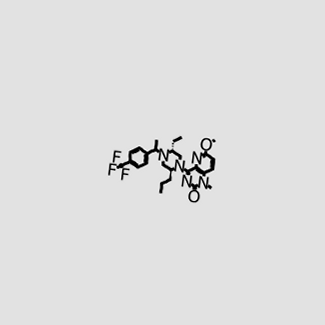 CCC[C@H]1CN(C(C)c2ccc(C(F)(F)F)cc2)[C@H](CC)CN1c1nc(=O)n(C)c2ccc(OC)nc12